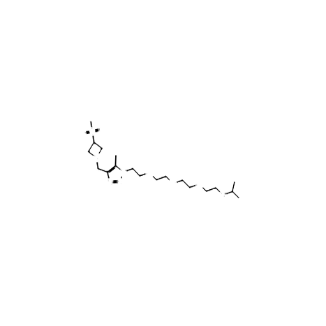 Cc1c(CN2CC(S(C)(=O)=O)C2)nnn1CCOCCOCCOCCNC(C)C